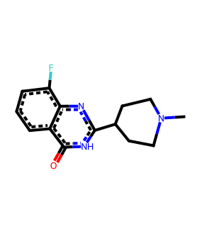 CN1CCC(c2nc3c(F)cccc3c(=O)[nH]2)CC1